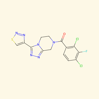 O=C(c1ccc(Cl)c(F)c1Cl)N1CCn2c(nnc2-c2csnn2)C1